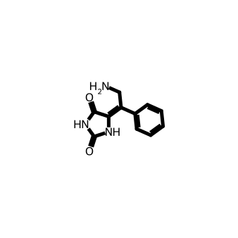 NCC(=C1NC(=O)NC1=O)c1ccccc1